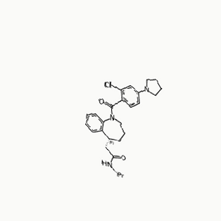 CC(C)NC(=O)C[C@H]1CCCN(C(=O)c2ccc(N3CCCC3)cc2Cl)c2ccccc21